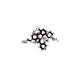 COc1c(Cl)cccc1Nc1c(-c2ccncc2OC[C@@H]2COCCN2C)[nH]c2c1C(=O)NC[C@@H]2CCO